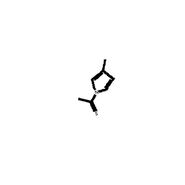 CC(=S)n1ccc(C)c1